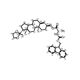 CC(C)[C@H](NC(=O)OCC1c2ccccc2-c2ccccc21)C(=O)O/N=C1/C=C2CCC3C(CC[C@@]4(C)C3CC[C@@H]4C3(C)OCCO3)[C@@]2(C)CC1